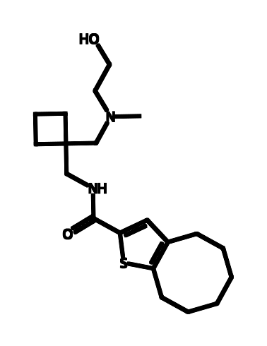 CN(CCO)CC1(CNC(=O)c2cc3c(s2)CCCCCC3)CCC1